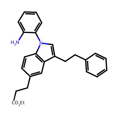 CCOC(=O)CCc1ccc2c(c1)c(CCc1ccccc1)cn2-c1ccccc1N